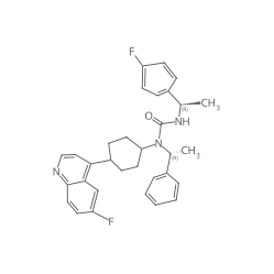 C[C@H](c1ccccc1)N(C(=O)N[C@H](C)c1ccc(F)cc1)C1CCC(c2ccnc3ccc(F)cc23)CC1